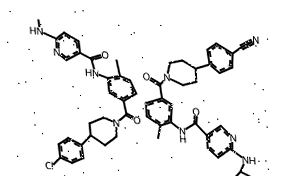 CNc1ccc(C(=O)Nc2cc(C(=O)N3CCC(c4ccc(Cl)cc4)CC3)ccc2C)cn1.Cc1ccc(C(=O)N2CCC(c3ccc(C#N)cc3)CC2)cc1NC(=O)c1ccc(NC(C)C)nc1